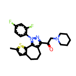 Cc1cc2c(s1)-c1c(c(C(=O)CN3CCCCC3)nn1-c1ccc(F)cc1F)CCC2